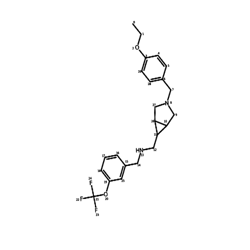 CCOc1ccc(CN2CC3C(CNCc4cccc(OC(F)(F)F)c4)C3C2)cc1